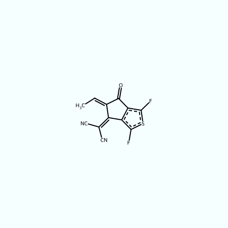 C/C=C1/C(=O)c2c(F)sc(F)c2C1=C(C#N)C#N